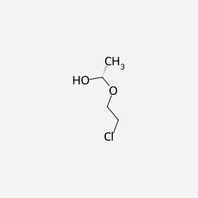 C[C@@H](O)OCCCl